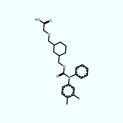 Cc1ccc(N(C(=O)OCC2CCCC(COCC(=O)O)C2)c2ccccc2)cc1F